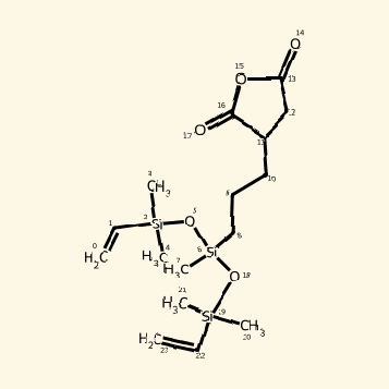 C=C[Si](C)(C)O[Si](C)(CCCC1CC(=O)OC1=O)O[Si](C)(C)C=C